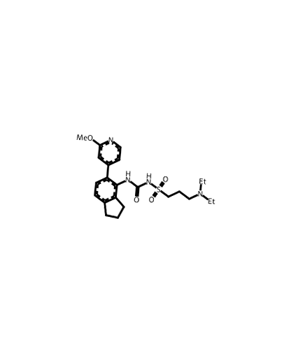 CCN(CC)CCCS(=O)(=O)NC(=O)Nc1c(-c2ccnc(OC)c2)ccc2c1CCC2